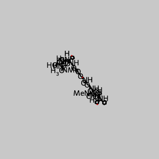 CN[C@@H](C)C(=O)NC1C(=O)N2[C@@H](CC[C@@H]1CO)CC[C@H]2C(=O)N[C@H](C(=O)NCCOCCOCCOCCNC(=O)COCCNC[C@H]1CC[C@H]2CC[C@@H](C(=O)NC(c3ccccc3)c3ccccc3)N2C(=O)[C@H]1NC(=O)[C@H](C)NC)c1ccccc1